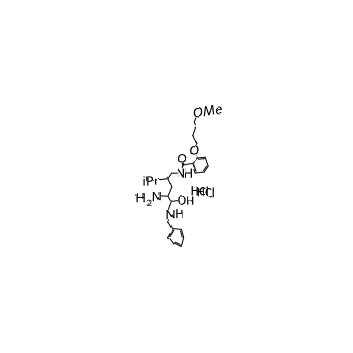 COCCCCOc1ccccc1C(=O)NCC(CC(N)C(O)CNCc1ccccc1)C(C)C.Cl.Cl